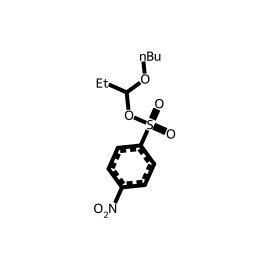 CCCCOC(CC)OS(=O)(=O)c1ccc([N+](=O)[O-])cc1